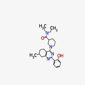 CCN(CC)C(=O)C1CCCN(c2nc(-c3ccccc3O)nc3c2CCC(C)C3)C1